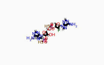 COP(=O)(S)O[C@@H]1[C@H](O)[C@@H](COP(=O)(S)O[C@@H]2CO[C@@H](n3cnc4c(N)ncnc43)[C@@H]2F)O[C@H]1n1cnc2c(N)ncnc21